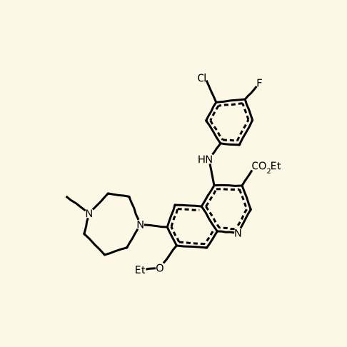 CCOC(=O)c1cnc2cc(OCC)c(N3CCCN(C)CC3)cc2c1Nc1ccc(F)c(Cl)c1